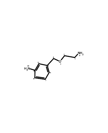 NCCOCc1cccc(N)c1